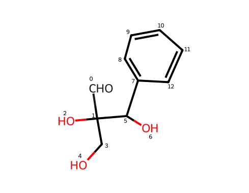 O=CC(O)(CO)C(O)c1ccccc1